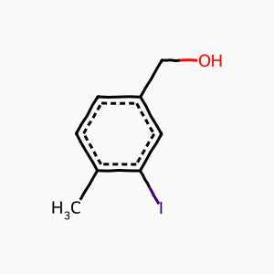 Cc1ccc(CO)cc1I